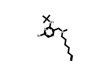 C=CCCCCCN(C)Cc1ccc(Br)nc1NC(C)(C)C